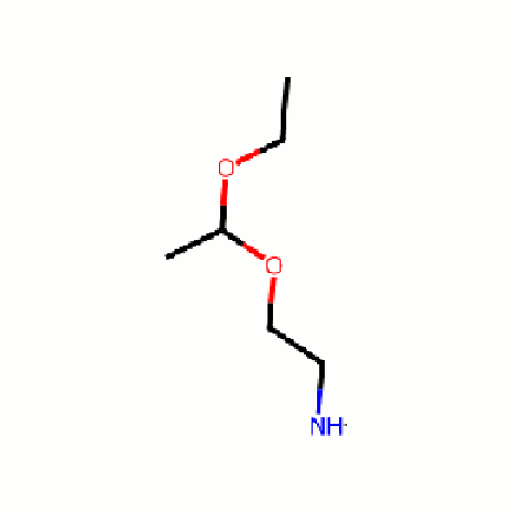 CCOC(C)OCC[NH]